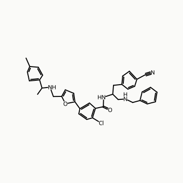 Cc1ccc(C(C)NCc2ccc(-c3ccc(Cl)c(C(=O)NC(CNCc4ccccc4)Cc4ccc(C#N)cc4)c3)o2)cc1